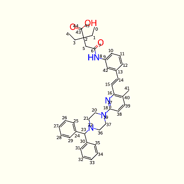 CCC(CC)(CC(=O)Nc1cccc(C=Cc2nc(N3CCN(C(c4ccccc4)c4ccccc4)CC3)ccc2C)c1)C(=O)O